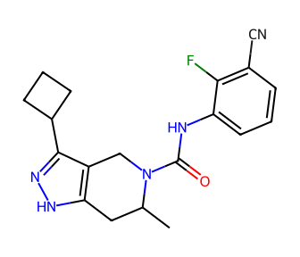 CC1Cc2[nH]nc(C3CCC3)c2CN1C(=O)Nc1cccc(C#N)c1F